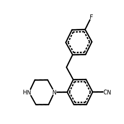 N#Cc1ccc(N2CCNCC2)c(Cc2ccc(F)cc2)c1